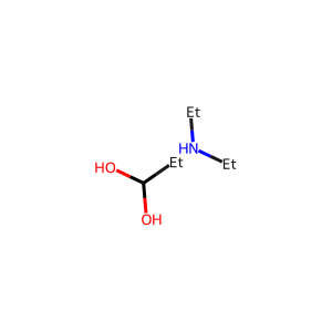 CCC(O)O.CCNCC